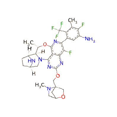 Cc1c(F)c(N)cc(-c2nc3c4c(nc(OCC56COC(CN5C)C6)nc4c2F)N2C[C@H]4CC[C@H](N4)[C@H]2[C@H](C)O3)c1C(F)(F)F